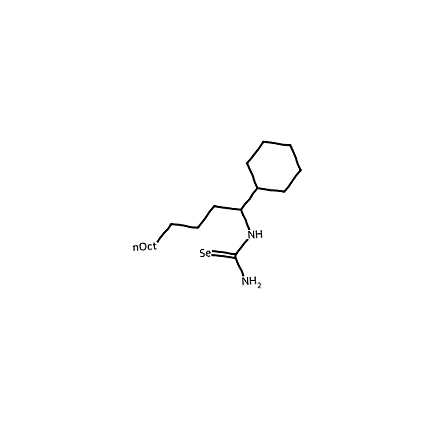 CCCCCCCCCCCC(NC(N)=[Se])C1CCCCC1